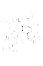 CCCc1c(O)c(S(=O)(=O)O)c(OC)c(C(C(C)(C)CC(C)C)C(C)(C)CC(C)(C)C)c1OC